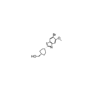 COc1cc2nc([C@H]3CC[C@H](CO)CC3)sc2cc1Br